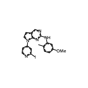 COc1ccc(C)c(Nc2ncc3ccn(-c4ccnc(I)c4)c3n2)c1